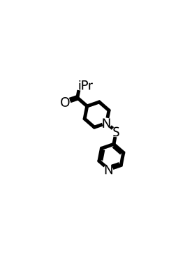 CC(C)C(=O)C1CCN(Sc2ccncc2)CC1